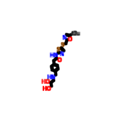 CC(C)(C)c1cnc(CSc2cnc(NC(=O)Cc3ccc(CNCC(O)CO)cc3)s2)o1